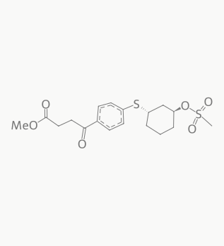 COC(=O)CCC(=O)c1ccc(S[C@H]2CCC[C@H](OS(C)(=O)=O)C2)cc1